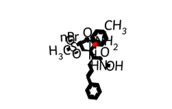 CCCC(C[C@@H](c1ccc(C)cc1)[C@H](C/C=C/c1ccccc1)C(=O)NO)(C(=O)NN)S(C)(=O)=O